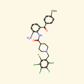 COc1ccc(C(=O)c2cccc(N)c2NC(=O)C2CCN(Cc3c(F)c(F)c(F)c(F)c3F)CC2)cc1